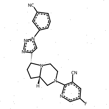 N#Cc1cccc(-n2cc([C@H]3CC[C@H]4CN(c5ncc(F)cc5C#N)CCN43)nn2)c1